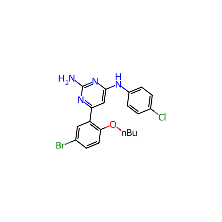 CCCCOc1ccc(Br)cc1-c1cc(Nc2ccc(Cl)cc2)nc(N)n1